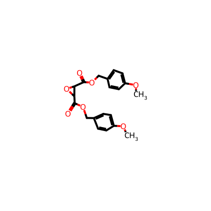 COc1ccc(COC(=O)C2OC2C(=O)OCc2ccc(OC)cc2)cc1